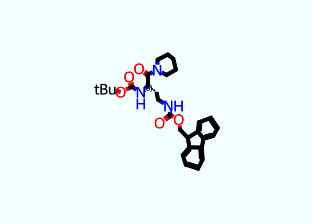 CC(C)(C)OC(=O)N[C@@H](CCNC(=O)OCC1c2ccccc2-c2ccccc21)C(=O)N1CCCCC1